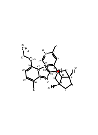 Cc1cc(N2C[C@H]3CC[C@@H](C2)C3Nc2nc3c(C)ccc(OCC(F)(F)F)n3n2)ncn1